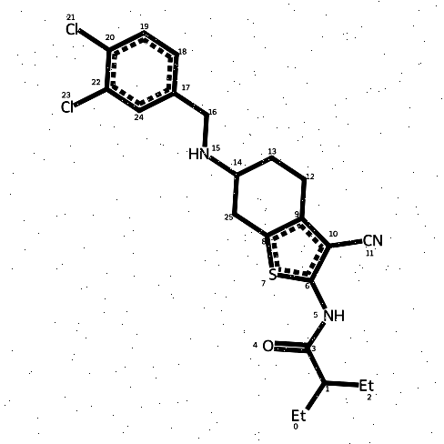 CCC(CC)C(=O)Nc1sc2c(c1C#N)CCC(NCc1ccc(Cl)c(Cl)c1)C2